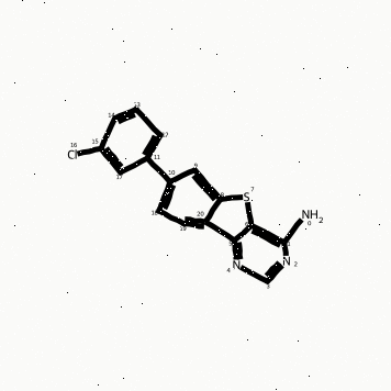 Nc1ncnc2c1sc1cc(-c3cccc(Cl)c3)ccc12